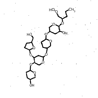 CCCC(COO)OC1OCC(OC2CCC(OC3CC(OC4CCC(CO)O4)C(OC4CCC(O)CO4)CO3)CO2)CC1O